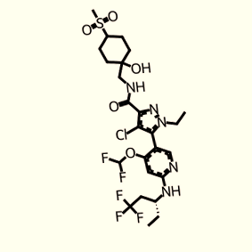 CC[C@H](CC(F)(F)F)Nc1cc(OC(F)F)c(-c2c(Cl)c(C(=O)NCC3(O)CCC(S(C)(=O)=O)CC3)nn2CC)cn1